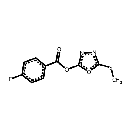 CSc1nnc(OC(=O)c2ccc(F)cc2)o1